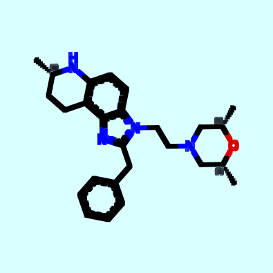 C[C@@H]1CN(CCn2c(Cc3ccccc3)nc3c4c(ccc32)N[C@@H](C)CC4)C[C@H](C)O1